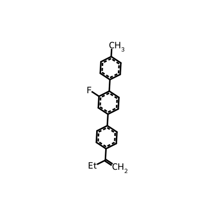 C=C(CC)c1ccc(-c2ccc(-c3ccc(C)cc3)c(F)c2)cc1